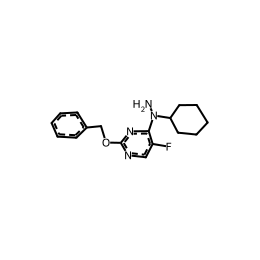 NN(c1nc(OCc2ccccc2)ncc1F)C1CCCCC1